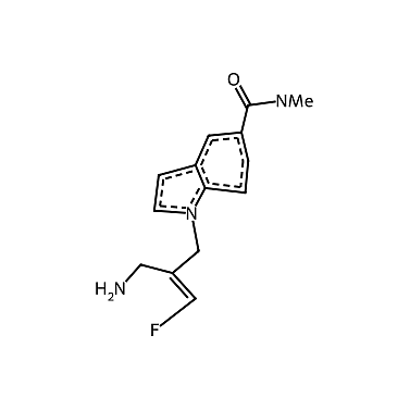 CNC(=O)c1ccc2c(ccn2C/C(=C/F)CN)c1